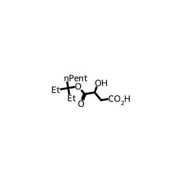 CCCCCC(CC)(CC)OC(=O)C(O)CC(=O)O